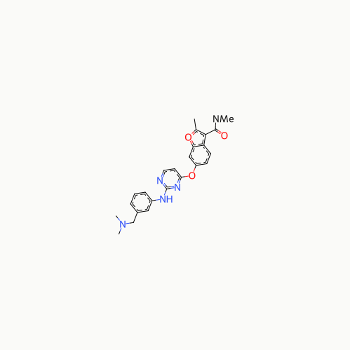 CNC(=O)c1c(C)oc2cc(Oc3ccnc(Nc4cccc(CN(C)C)c4)n3)ccc12